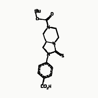 CC(C)(C)OC(=O)N1CCN2C(=S)N(c3ccc(C(=O)O)cc3)CC2C1